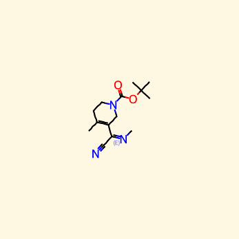 C/N=C(/C#N)C1=C(C)CCN(C(=O)OC(C)(C)C)C1